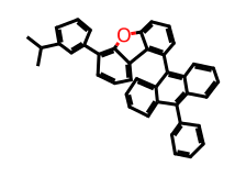 CC(C)c1cccc(-c2cccc3c2oc2cccc(-c4c5ccccc5c(-c5ccccc5)c5ccccc45)c23)c1